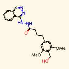 COc1cc(CCCC(=O)NNc2nncc3ccccc23)cc(OC)c1CO